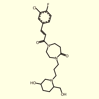 O=C(/C=C/c1ccc(F)c(Cl)c1)N1CCC(=O)N(CCCN2CC(O)CCC2CO)CC1